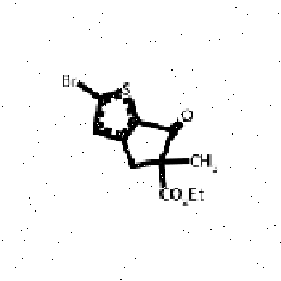 CCOC(=O)C1(C)Cc2cc(Br)sc2C1=O